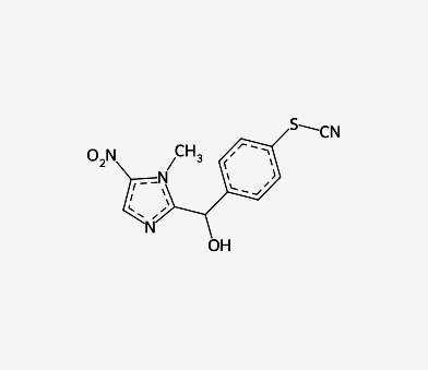 Cn1c([N+](=O)[O-])cnc1C(O)c1ccc(SC#N)cc1